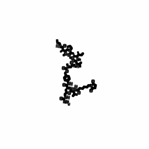 CCCNC(=O)[C@H](C)[C@@H](OC)[C@@H]1CCCN1C(=O)C[C@@H](OC)[C@H]([C@@H](C)CC)N(C)C(=O)[C@@H](NC(=O)CN(C)C(=O)OCc1ccc(NC(=O)[C@H](CCCNC(N)=O)NC(=O)[C@@H](NC(=O)CCCCCN2C(=O)C=CC2=O)C(C)C)cc1)C(C)C